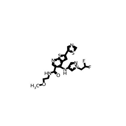 COCCNC(=O)c1cnc2sc(-c3cncs3)cc2c1Nc1cnn(CC(F)F)c1